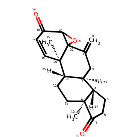 C=C1C[C@H]2[C@@H]3CCC(=O)[C@@]3(C)CC[C@@H]2[C@@]2(C)C=CC(=O)C3OC132